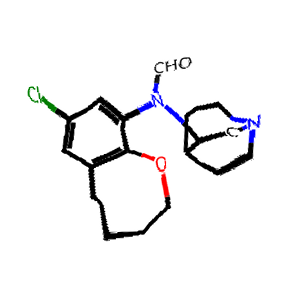 O=CN(c1cc(Cl)cc2c1OCCCC2)C1CN2CCC1CC2